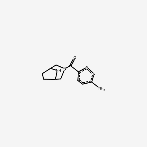 Nc1ccc(C(=O)N2CC3CCC(C2)N3)nn1